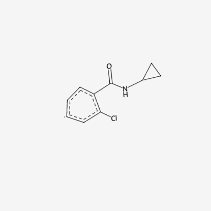 O=C(NC1CC1)c1cc[c]cc1Cl